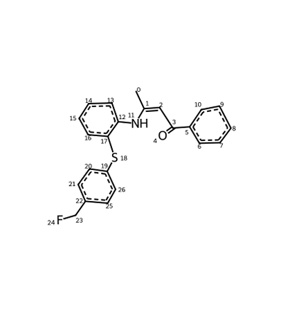 C/C(=C/C(=O)c1ccccc1)Nc1ccccc1Sc1ccc(CF)cc1